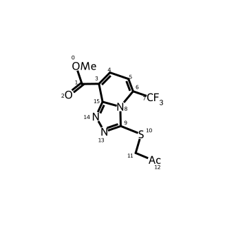 COC(=O)c1ccc(C(F)(F)F)n2c(SCC(C)=O)nnc12